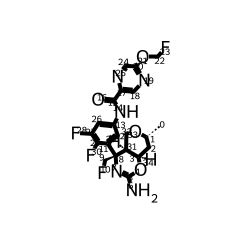 C[C@@H]1C[C@H]2OC(N)=N[C@](CF)(c3cc(NC(=O)c4cnc(OCF)cn4)cc(F)c3F)[C@H]2CO1